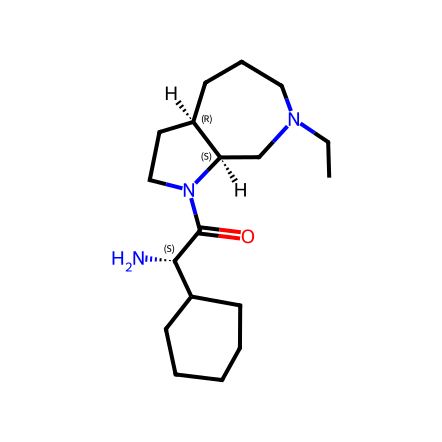 CCN1CCC[C@@H]2CCN(C(=O)[C@@H](N)C3CCCCC3)[C@@H]2C1